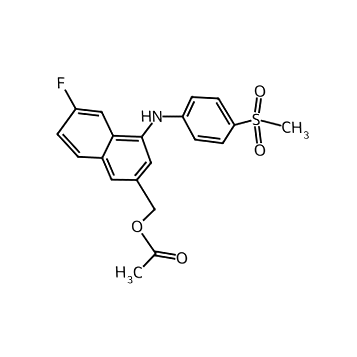 CC(=O)OCc1cc(Nc2ccc(S(C)(=O)=O)cc2)c2cc(F)ccc2c1